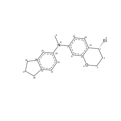 CC[C@@H]1CCOc2cc(N(C)c3ccc4c(c3)CCC4)ccc21